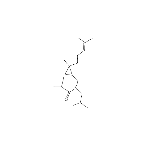 CC(C)=CCCC1(C)CC1CN(CC(C)C)C(=O)C(C)C